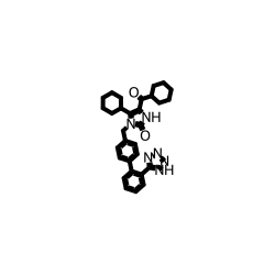 O=C(c1[nH]c(=O)n(Cc2ccc(-c3ccccc3-c3nnn[nH]3)cc2)c1C1CCCCC1)C1CCCCC1